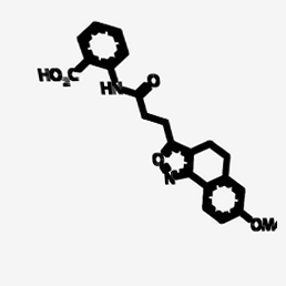 COc1ccc2c(c1)CCc1c-2noc1CCC(=O)Nc1ccccc1C(=O)O